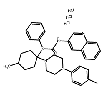 CC1CCC(N2CCN(c3ccc(F)cc3)CC2)(N(C(=O)Nc2cnc3ccccc3c2)c2ccccc2)CC1.Cl.Cl.Cl